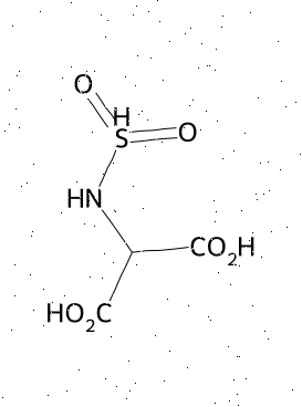 O=C(O)C(N[SH](=O)=O)C(=O)O